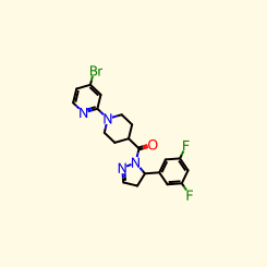 O=C(C1CCN(c2cc(Br)ccn2)CC1)N1N=CCC1c1cc(F)cc(F)c1